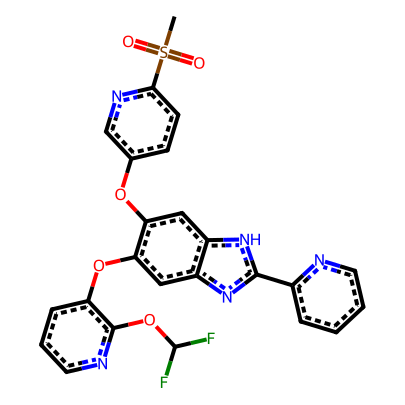 CS(=O)(=O)c1ccc(Oc2cc3[nH]c(-c4ccccn4)nc3cc2Oc2cccnc2OC(F)F)cn1